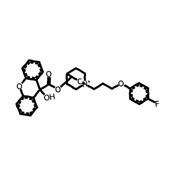 O=C(OC1C[N+]2(CCCOc3ccc(F)cc3)CCC1CC2)C1(O)c2ccccc2Oc2ccccc21